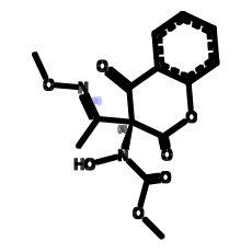 CO/N=C(\C)[C@@]1(N(O)C(=O)OC)C(=O)Oc2ccccc2C1=O